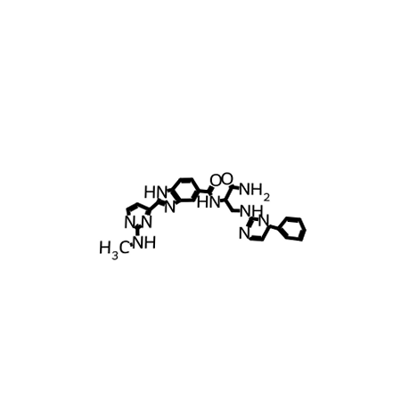 CNc1nccc(-c2nc3cc(C(=O)NC(CNc4nccc(-c5ccccc5)n4)C(N)=O)ccc3[nH]2)n1